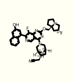 N#CC[C@@H]1C[C@@H]2CN(c3nc(OC[C@@]45CCCN4C[C@H](F)C5)nc4c(F)c(-c5cc(O)cc6ccccc56)ncc34)C[C@H]1N2